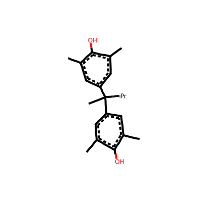 Cc1cc(C(C)(c2cc(C)c(O)c(C)c2)C(C)C)cc(C)c1O